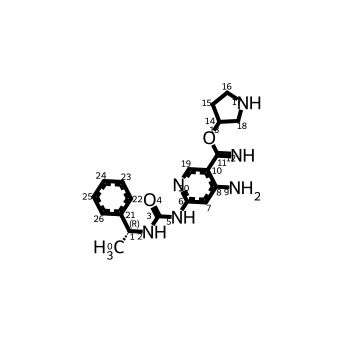 C[C@@H](NC(=O)Nc1cc(N)c(C(=N)OC2CCNC2)cn1)c1ccccc1